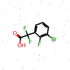 O=C(O)C(F)(F)c1cccc(Br)c1F